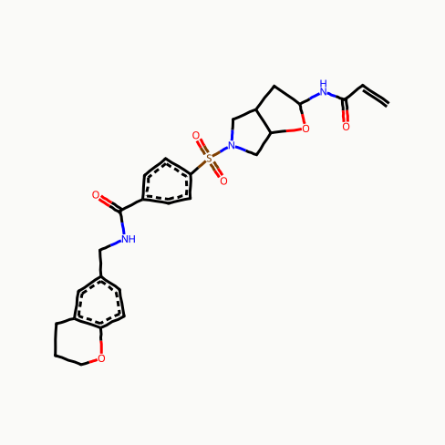 C=CC(=O)NC1CC2CN(S(=O)(=O)c3ccc(C(=O)NCc4ccc5c(c4)CCCO5)cc3)CC2O1